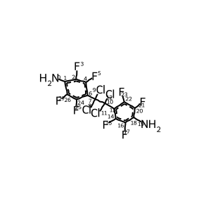 Nc1c(F)c(F)c(C(Cl)(Cl)C(Cl)(Cl)c2c(F)c(F)c(N)c(F)c2F)c(F)c1F